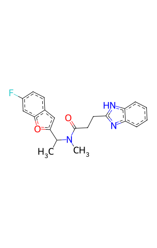 CC(c1cc2ccc(F)cc2o1)N(C)C(=O)CCc1nc2ccccc2[nH]1